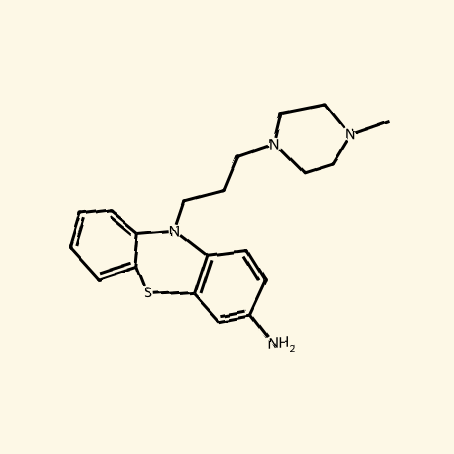 CN1CCN(CCCN2c3ccccc3Sc3cc(N)ccc32)CC1